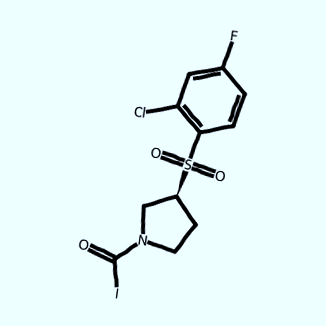 O=C(I)N1CC[C@H](S(=O)(=O)c2ccc(F)cc2Cl)C1